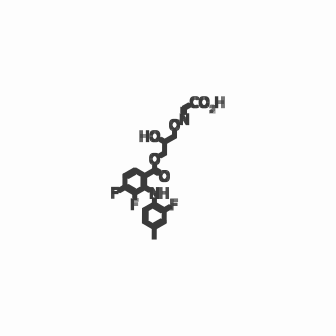 Cc1ccc(Nc2c(C(=O)OCC(O)CO/N=C/C(=O)O)ccc(F)c2F)c(F)c1